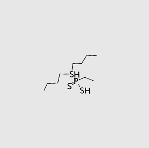 CCCC[SH](CCCC)P(=S)(S)CC